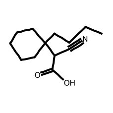 CCCCC1(C(C#N)C(=O)O)CCCCC1